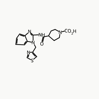 O=C(Nc1nc2ccccc2n1Cc1cscn1)C1CCN(C(=O)O)CC1